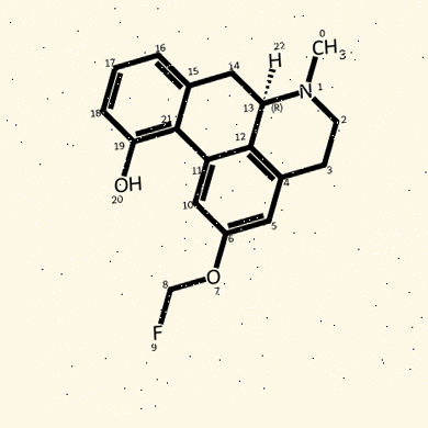 CN1CCc2cc(OCF)cc3c2[C@H]1Cc1cccc(O)c1-3